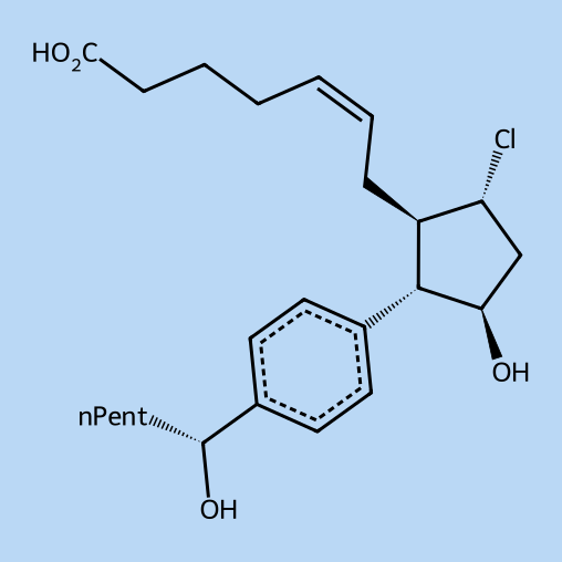 CCCCC[C@@H](O)c1ccc([C@@H]2[C@@H](C/C=C\CCCC(=O)O)[C@H](Cl)C[C@H]2O)cc1